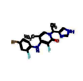 CC(c1c[nH]cn1)n1cc(C(=O)O)c(Nc2ccc(Br)cc2F)c(F)c1=O